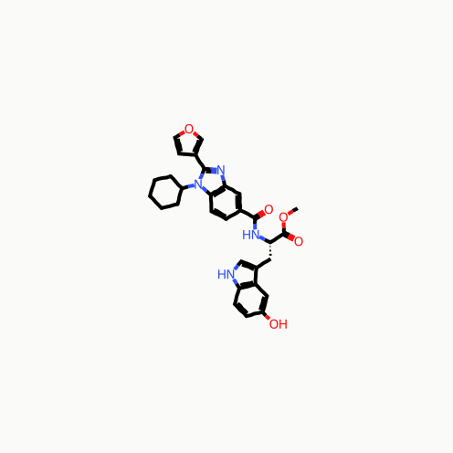 COC(=O)[C@H](Cc1c[nH]c2ccc(O)cc12)NC(=O)c1ccc2c(c1)nc(-c1ccoc1)n2C1CCCCC1